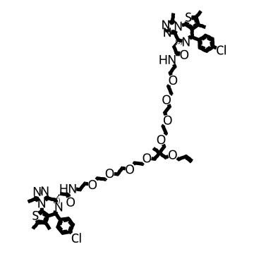 C=CCOCC(C)(COCCOCCOCCOCCNC(=O)C[C@@H]1N=C(c2ccc(Cl)cc2)c2c(sc(C)c2C)-n2c(C)nnc21)COCCOCCOCCOCCNC(=O)C[C@@H]1N=C(c2ccc(Cl)cc2)c2c(sc(C)c2C)-n2c(C)nnc21